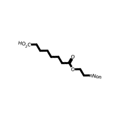 CCCCCCCCCCCOC(=O)CCCCCCC(=O)O